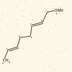 C/C=C/CC/C=C/COC